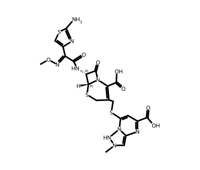 CON=C(C(=O)N[C@@H]1C(=O)N2C(C(=O)O)=C(CSC3=CC(C(=O)O)=NC4=CN(C)NN43)CS[C@H]12)c1csc(N)n1